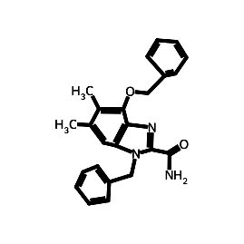 Cc1cc2c(nc(C(N)=O)n2Cc2ccccc2)c(OCc2ccccc2)c1C